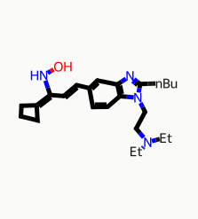 CCCCc1nc2cc(/C=C/C(NO)=C3CCC3)ccc2n1CCN(CC)CC